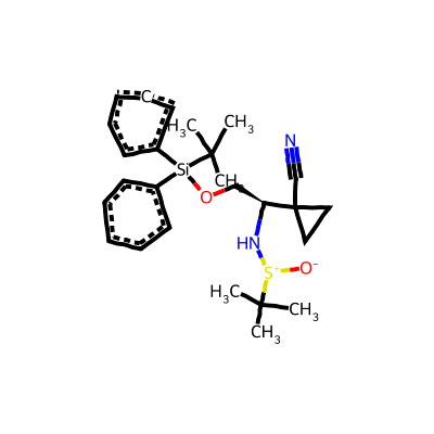 CC(C)(C)[S+]([O-])N[C@@H](CO[Si](c1ccccc1)(c1ccccc1)C(C)(C)C)C1(C#N)CC1